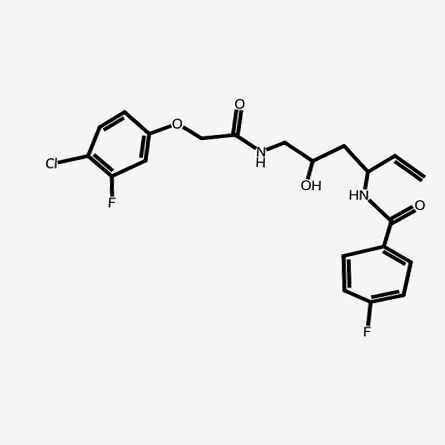 C=CC(CC(O)CNC(=O)COc1ccc(Cl)c(F)c1)NC(=O)c1ccc(F)cc1